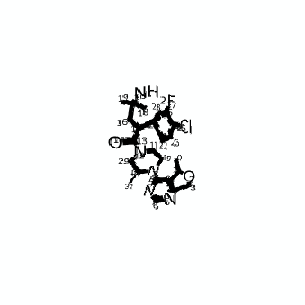 CC1OCc2ncnc(N3CCN(C(=O)C(CC(C)(C)N)c4ccc(Cl)c(F)c4)C[C@@H]3C)c21